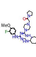 COc1ccc(NC(=N/CNC2CCCCCC2)/N=C(\N)N2CCN(CC(=O)N3CCCC3)CC2)cc1F